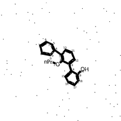 CCCOc1c(-c2ccccc2)cccc1-c1ccccc1O